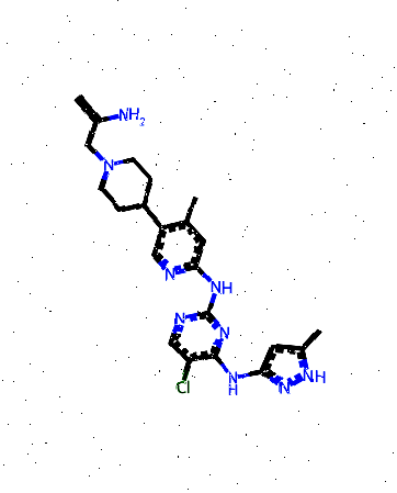 C=C(N)CN1CCC(c2cnc(Nc3ncc(Cl)c(Nc4cc(C)[nH]n4)n3)cc2C)CC1